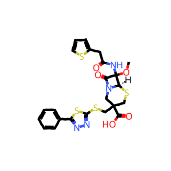 COC1(NC(=O)Cc2cccs2)C(=O)N2CC(CSc3nnc(-c4ccccc4)s3)(C(=O)O)CS[C@@H]21